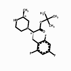 C[C@H]1CN([C@@H](Cc2c(F)cc(F)cc2F)C(=O)OC(C)(C)C)CCN1